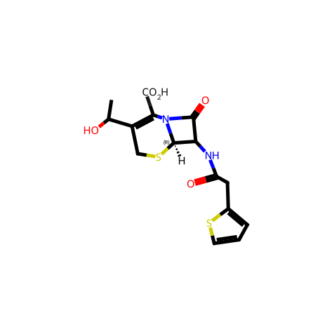 CC(O)C1=C(C(=O)O)N2C(=O)C(NC(=O)Cc3cccs3)[C@H]2SC1